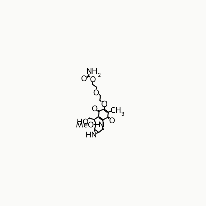 COC12C(CO)C3=C(C(=O)C(C)=C(OCCOCCOC(N)=O)C3=O)N1CC1NC12